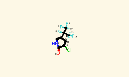 O=c1[nH]cc(C(F)(C(F)(F)F)C(F)(F)F)cc1Cl